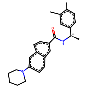 Cc1ccc([C@@H](C)NC(=O)c2ccc3cc(N4CCCCC4)ccc3c2)cc1C